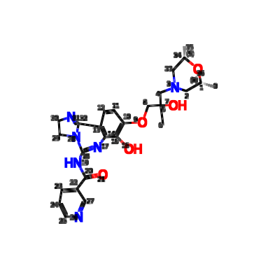 C[C@@H]1CN(CC(C)(O)COc2ccc3c(c2O)N=C(NC(=O)c2cccnc2)N2CCN=C32)C[C@H](C)O1